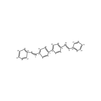 C(=Nc1ccc(-c2ccc(N=Cc3ccccc3)cc2)cc1)c1ccccc1